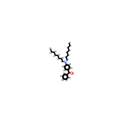 CCCCCCCCN(CCCCCCCC)c1ccc(C(=O)c2ccccc2)cc1